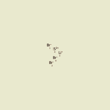 [Br-].[Br-].[Br-].[Li+].[S+2]